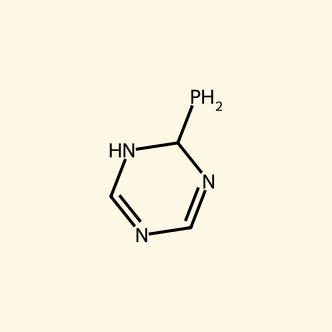 PC1N=CN=CN1